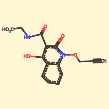 C#CCOn1c(=O)c(C(=O)NCC(=O)O)c(O)c2ccccc21